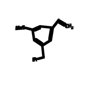 C=[C]c1cc(CC(C)C)cc(SC)c1